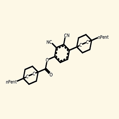 CCCCCC12CCC(C(=O)Oc3ccc(C45CCC(CCCCC)(CC4)CC5)c(C#N)c3C#N)(CC1)CC2